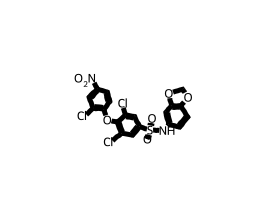 O=[N+]([O-])c1ccc(Oc2c(Cl)cc(S(=O)(=O)Nc3ccc4c(c3)OCO4)cc2Cl)c(Cl)c1